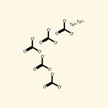 O=C([O-])[O-].O=C([O-])[O-].O=C([O-])[O-].O=C([O-])[O-].O=C([O-])[O-].[Ta+5].[Ta+5]